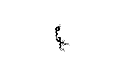 BOC(=O)C(CCCC)C1CCN(CCCc2ccc(Cl)cc2)CC1